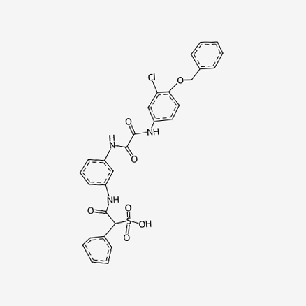 O=C(Nc1cccc(NC(=O)C(c2ccccc2)S(=O)(=O)O)c1)C(=O)Nc1ccc(OCc2ccccc2)c(Cl)c1